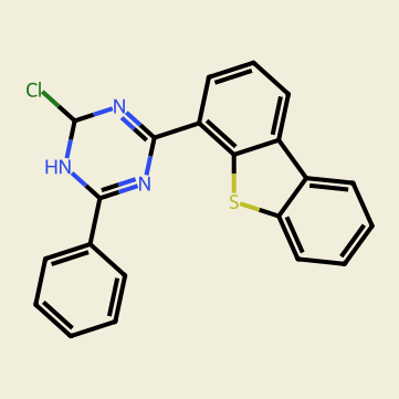 ClC1N=C(c2cccc3c2sc2ccccc23)N=C(c2ccccc2)N1